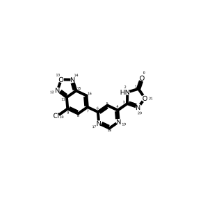 O=c1[nH]c(-c2cc(-c3cc(Cl)c4nonc4c3)ncn2)no1